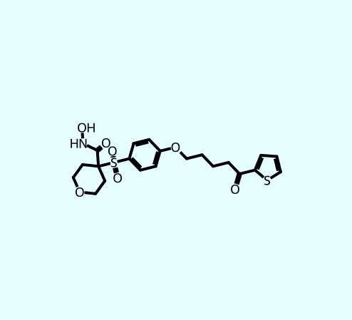 O=C(CCCCOc1ccc(S(=O)(=O)C2(C(=O)NO)CCOCC2)cc1)c1cccs1